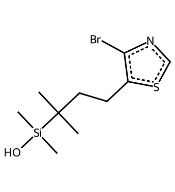 CC(C)(CCc1scnc1Br)[Si](C)(C)O